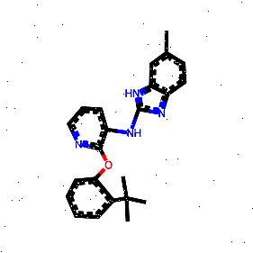 Cc1ccc2nc(Nc3cccnc3Oc3ccccc3C(C)(C)C)[nH]c2c1